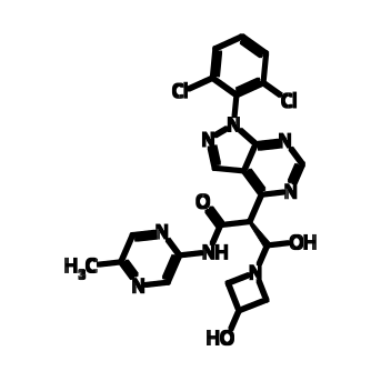 Cc1cnc(NC(=O)[C@@H](c2ncnc3c2cnn3-c2c(Cl)cccc2Cl)C(O)N2CC(O)C2)cn1